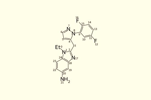 CCn1c(Cc2ccnn2-c2cc(F)ccc2F)nc2cc(N)ccc21